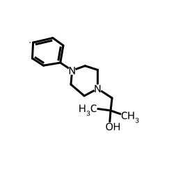 CC(C)(O)CN1CCN(c2cc[c]cc2)CC1